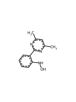 Cc1cc(C)nc(-c2ccccc2NO)n1